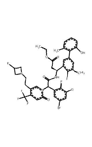 CCOC(=O)C[C@H](NC(=O)C(c1cc(Br)cc(Cl)c1F)n1cc(CCN2CC(F)C2)c(C(F)(F)F)cc1=O)c1cc(-c2c(C)cccc2O)cc(C)c1F